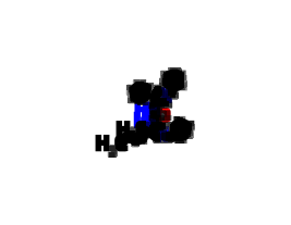 C=C(/C=C\C=C/C)[C@H]1CN(Cc2ccccc2)C[C@@H]1NC(=O)N[C@H]1CN(Cc2ccccc2)C[C@@H]1c1ccccc1